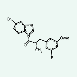 COc1cc(F)cc(CN(C)C(=O)n2ccc3cc(Br)ccc32)c1